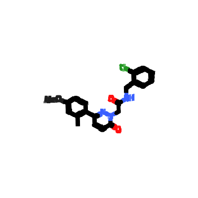 COc1ccc(-c2ccc(=O)n(CC(=O)NCc3ccccc3Cl)n2)c(C)c1